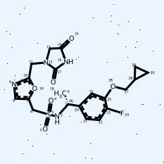 C[C@@H](NS(=O)(=O)Cc1cnc(CN2CC(=O)NC2=O)o1)c1ccc(F)c(OCC2CC2)c1